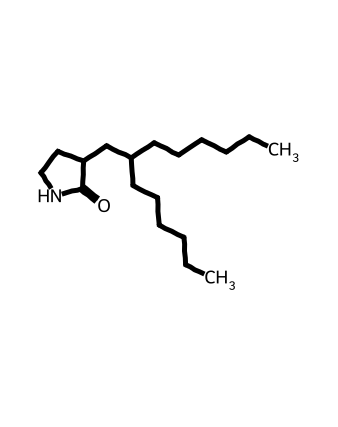 CCCCCCC(CCCCCC)CC1CCNC1=O